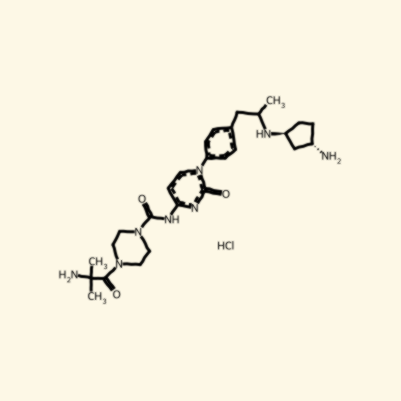 CC(Cc1ccc(-n2ccc(NC(=O)N3CCN(C(=O)C(C)(C)N)CC3)nc2=O)cc1)N[C@H]1CC[C@H](N)C1.Cl